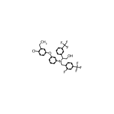 CCc1cc(Oc2cccc(N(Cc3ccc(C(F)(F)F)cc3F)C(CO)c3cccc(C(F)(F)F)c3)c2)ccc1Cl